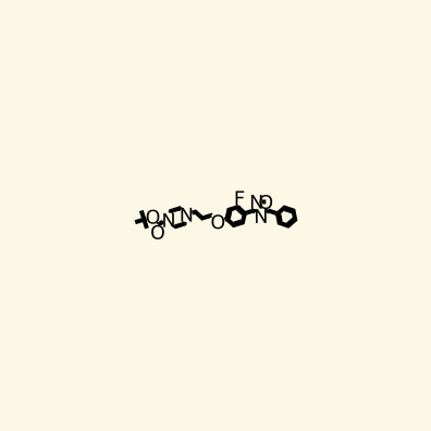 CC(C)(C)OC(=O)N1CCN(CCCOc2ccc(-c3noc(-c4ccccc4)n3)c(F)c2)CC1